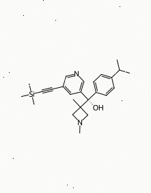 CC(C)c1ccc([C@](O)(c2cncc(C#C[Si](C)(C)C)c2)C2(C)CN(C)C2)cc1